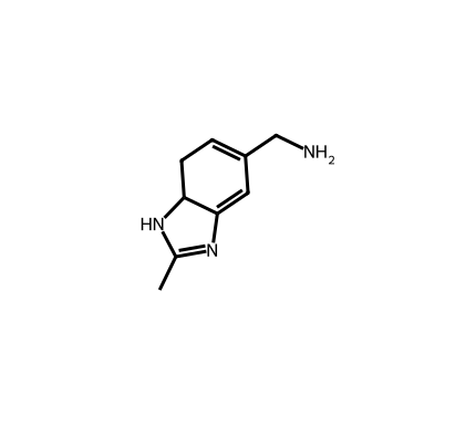 CC1=NC2=CC(CN)=CCC2N1